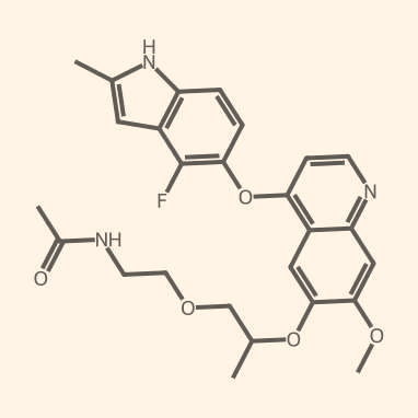 COc1cc2nccc(Oc3ccc4[nH]c(C)cc4c3F)c2cc1OC(C)COCCNC(C)=O